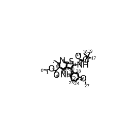 CCOC(=O)c1c(C)nc2sc(NC(=O)OC(C)(C)C)c(-c3cccc(OC)c3)c2c1N